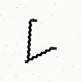 [CH2]CC(CCCCCCCCCCCCCCCCCCC)CCCCCCCCCCCCCCCCCCCCCCCCC